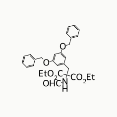 CCOC(=O)C(Cc1cc(OCc2ccccc2)cc(OCc2ccccc2)c1)(NC=O)C(=O)OCC